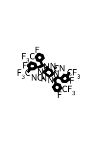 N#CN=C1c2nc(-c3ccc(F)c(C(F)(F)F)c3)c(-c3ccc(F)c(C(F)(F)F)c3)nc2C(=NC#N)c2nc(-c3ccc(F)c(C(F)(F)F)c3)c(-c3ccc(F)c(C(F)(F)F)c3)nc21